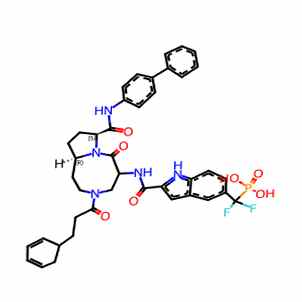 O=C(NC1CN(C(=O)CCC2C=CC=CC2)CC[C@H]2CC[C@@H](C(=O)Nc3ccc(-c4ccccc4)cc3)N2C1=O)c1cc2cc(C(F)(F)P(=O)(O)O)ccc2[nH]1